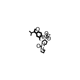 CC(C)c1coc2ccc(C[C@@H]3[C@H](NS(C)(=O)=O)CCN3C(=O)N3CCC3)cc12